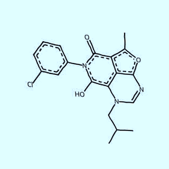 Cc1oc2c3c(c(O)n(-c4cccc(Cl)c4)c(=O)c13)N(CC(C)C)C=N2